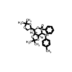 Cc1ccc(NC2[C@H]3OC(C)(C)O[C@H]3[C@@H]([C@H]3COC(C)(C)O3)OP2(=O)c2ccccc2)cc1